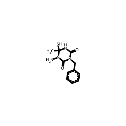 CC1(S)NC(=O)N(Cc2ccccc2)C(=O)N1N